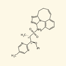 Cc1cnc([C@H](OC(C)C)[C@H](C)S(=O)(=O)Nc2nnc3n2-c2c(F)cccc2C=CCC3)nc1